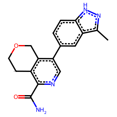 Cc1n[nH]c2ccc(-c3cnc(C(N)=O)c4c3COC[CH]4)cc12